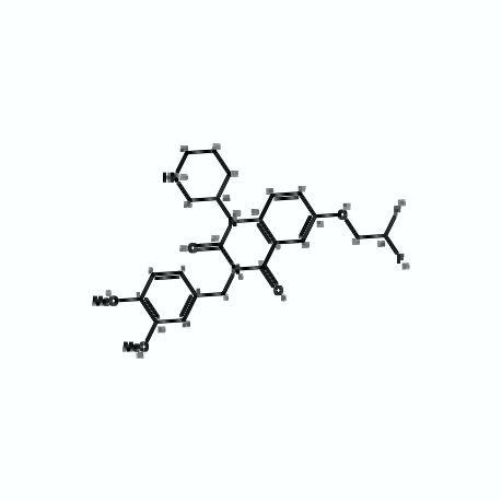 COc1ccc(Cn2c(=O)c3cc(OCC(F)F)ccc3n(C3CCCNC3)c2=O)cc1OC